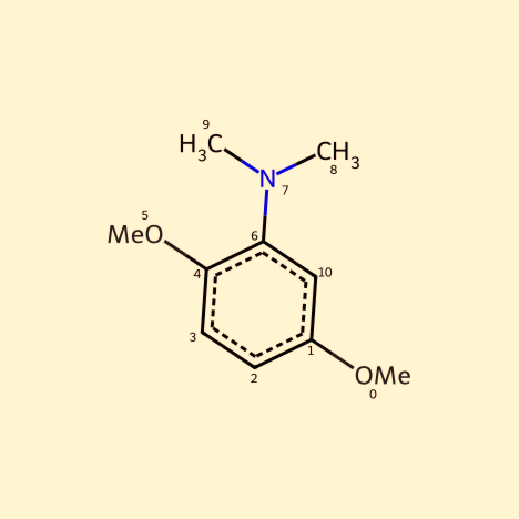 COc1ccc(OC)c(N(C)C)c1